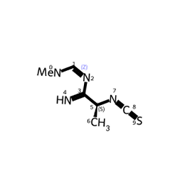 CN/C=N\C(=N)[C@H](C)N=C=S